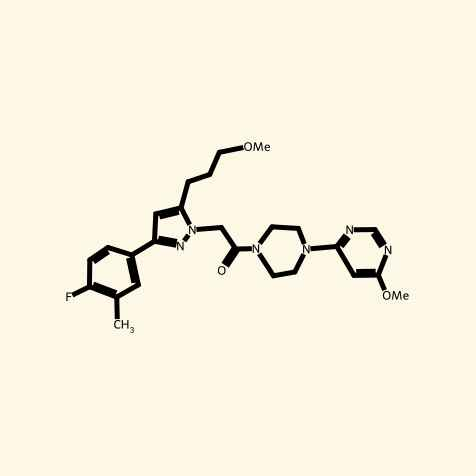 COCCCc1cc(-c2ccc(F)c(C)c2)nn1CC(=O)N1CCN(c2cc(OC)ncn2)CC1